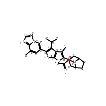 CC(=O)CN1C2CCC1CC(c1sc3[nH]c(-c4cc(C)c5ncnn5c4)c(C(C)C)c3c1C)C2